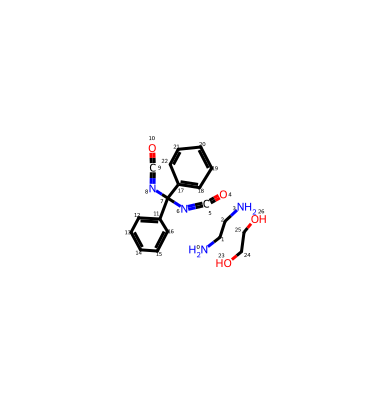 NCCN.O=C=NC(N=C=O)(c1ccccc1)c1ccccc1.OCCO